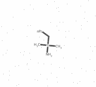 CCC[CH2][Ti]([CH3])([CH3])[NH2]